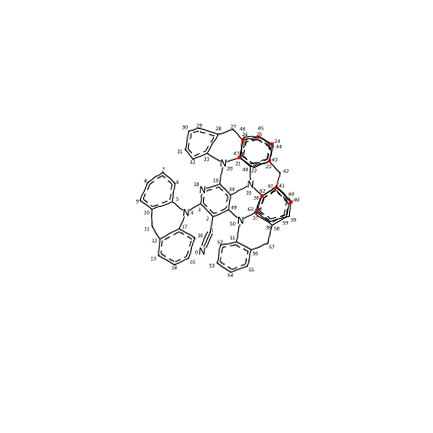 N#Cc1c(N2c3ccccc3Cc3ccccc32)nc(N2c3ccccc3Cc3ccccc32)c(N2c3ccccc3Cc3ccccc32)c1N1c2ccccc2Cc2ccccc21